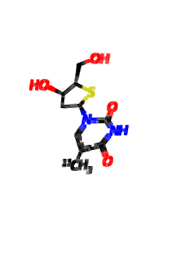 [11CH3]c1cn([C@H]2C[C@@H](O)[C@@H](CO)S2)c(=O)[nH]c1=O